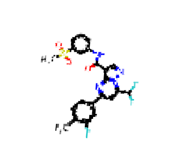 CS(=O)(=O)c1cccc(NC(=O)c2cnn3c(C(F)F)cc(-c4ccc(C(F)(F)F)c(F)c4)nc23)c1